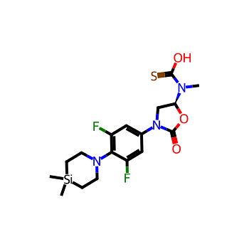 CN(C(O)=S)[C@@H]1CN(c2cc(F)c(N3CC[Si](C)(C)CC3)c(F)c2)C(=O)O1